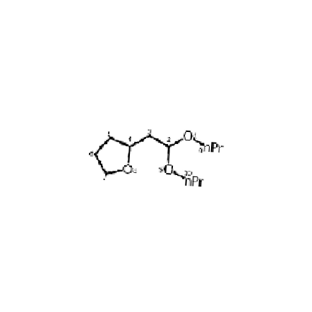 CCCOC(CC1CCCO1)OCCC